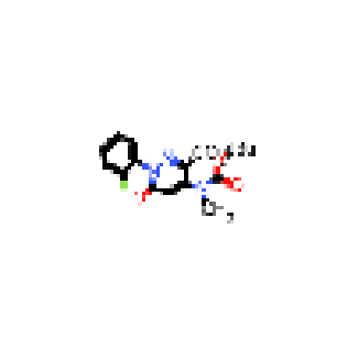 CN(C(=O)OC(C)(C)C)c1cc(=O)n(-c2ccccc2F)nc1C(=O)O